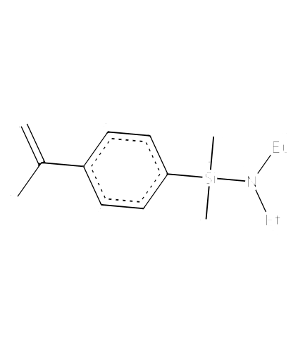 C=C(C)c1ccc([Si](C)(C)N(CC)CC)cc1